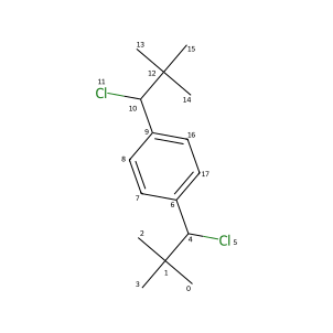 CC(C)(C)C(Cl)c1ccc(C(Cl)C(C)(C)C)cc1